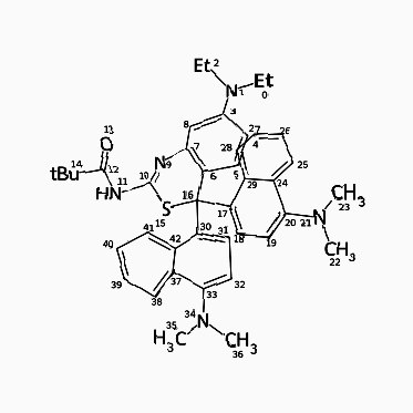 CCN(CC)c1ccc2c(c1)N=C(NC(=O)C(C)(C)C)SC2(c1ccc(N(C)C)c2ccccc12)c1ccc(N(C)C)c2ccccc12